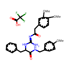 COc1ccc(CNC(=O)C(Cc2ccccc2)NC(N)=NC(=O)Cc2ccc(OC)c(OC)c2)cc1.O=C(O)C(F)(F)F